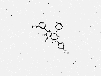 O=c1[nH]c(-c2cccc(O)c2)nc2c(-c3cccnc3)nc(-c3ccc(C(F)(F)F)cc3)cc12